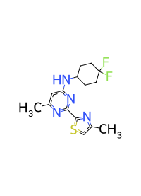 Cc1cc(NC2CCC(F)(F)CC2)nc(-c2nc(C)cs2)n1